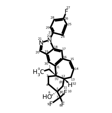 CC[C@]12CC[C@](O)(C(F)(F)F)C[C@H]1CC=Cc1cc3c(cnn3-c3ccc(F)cc3)cc12